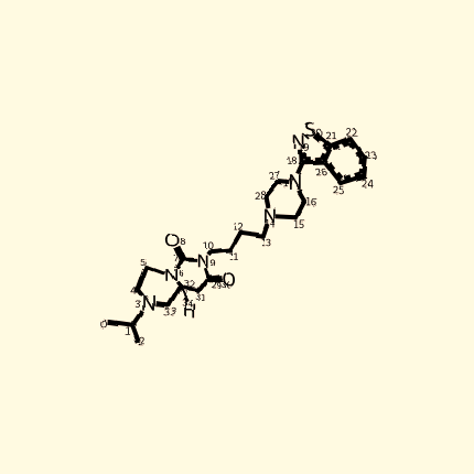 CC(C)N1CCN2C(=O)N(CCCCN3CCN(c4nsc5ccccc45)CC3)C(=O)C[C@@H]2C1